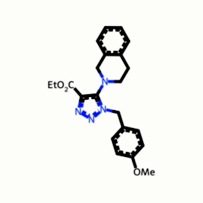 CCOC(=O)c1nnn(Cc2ccc(OC)cc2)c1N1CCc2ccccc2C1